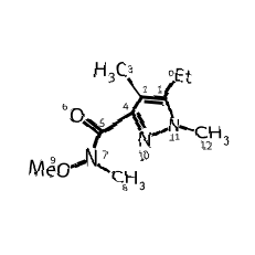 CCc1c(C)c(C(=O)N(C)OC)nn1C